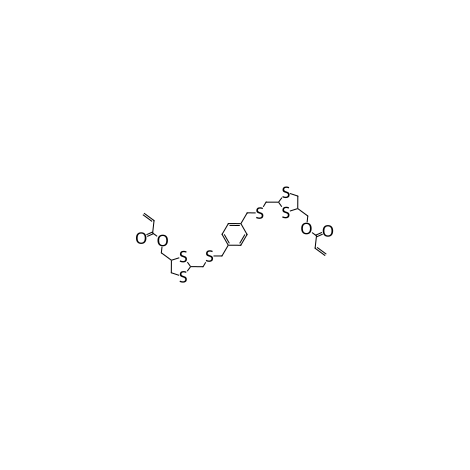 C=CC(=O)OCC1CSC(CSCc2ccc(CSCC3SCC(COC(=O)C=C)S3)cc2)S1